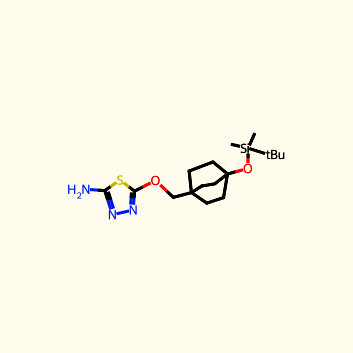 CC(C)(C)[Si](C)(C)OC12CCC(COc3nnc(N)s3)(CC1)CC2